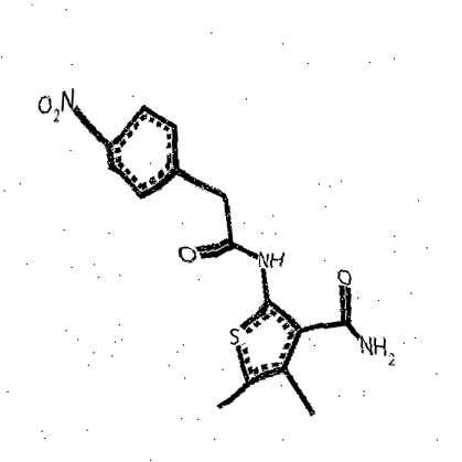 Cc1sc(NC(=O)Cc2ccc([N+](=O)[O-])cc2)c(C(N)=O)c1C